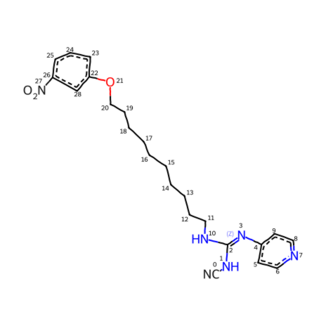 N#CN/C(=N\c1ccncc1)NCCCCCCCCCCOc1cccc([N+](=O)[O-])c1